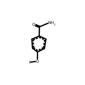 NC(=O)c1ccc(OI)cc1